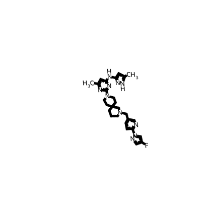 Cc1cc(Nc2cc(C)[nH]n2)nc(N2CCC3(CCCN(Cc4ccc(-n5cc(F)cn5)nc4)C3)CC2)n1